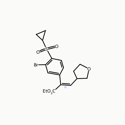 CCOC(=O)/C(=C/C1CCOC1)c1ccc(S(=O)(=O)C2CC2)c(Br)c1